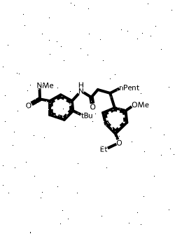 CCCCCC(CC(=O)Nc1cc(C(=O)NC)ccc1C(C)(C)C)c1ccc(OCC)cc1OC